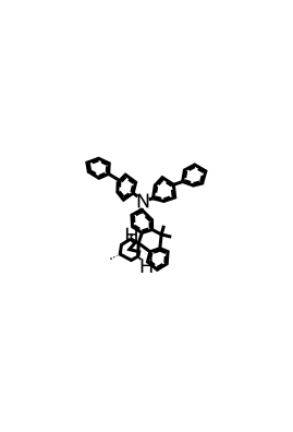 C[C@@H]1C[C@H]2CCC[C@@H](C1)C21c2ccccc2C(C)(C)c2cc(N(c3ccc(-c4ccccc4)cc3)c3ccc(-c4ccccc4)cc3)ccc21